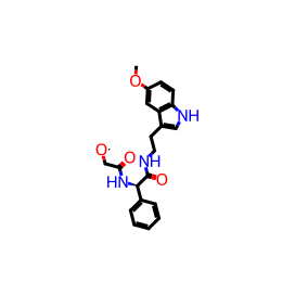 COc1ccc2[nH]cc(CCNC(=O)[C@H](NC(=O)C[O])c3ccccc3)c2c1